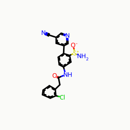 N#Cc1cncc(-c2ccc(NC(=O)Cc3ccccc3Cl)cc2[S+](N)[O-])c1